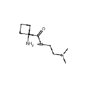 CN(C)CCNC(=O)C1(N)CCC1